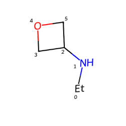 [CH2]CNC1COC1